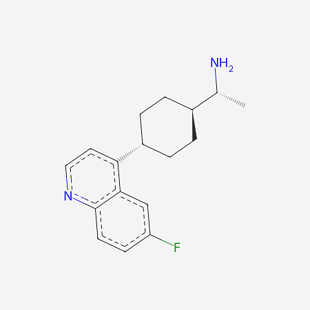 C[C@@H](N)[C@H]1CC[C@H](c2ccnc3ccc(F)cc32)CC1